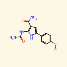 NC(=O)Nc1[nH]c(-c2ccc(SCl)cc2)cc1C(N)=O